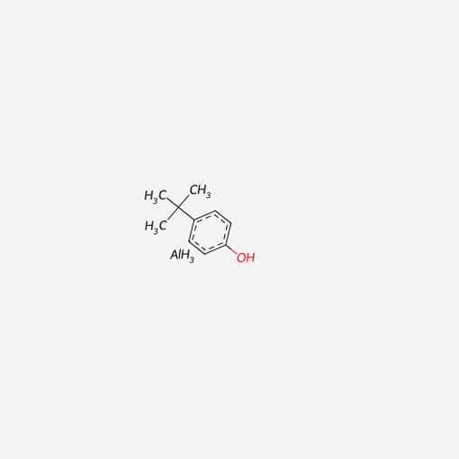 CC(C)(C)c1ccc(O)cc1.[AlH3]